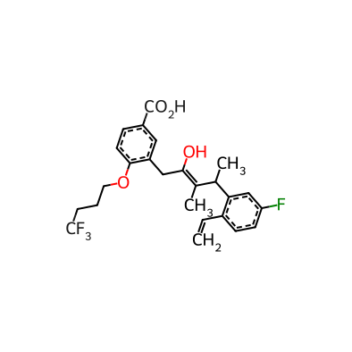 C=Cc1ccc(F)cc1C(C)C(C)=C(O)Cc1cc(C(=O)O)ccc1OCCCC(F)(F)F